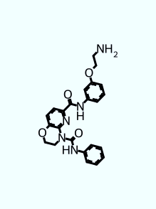 NCCOc1cccc(NC(=O)c2ccc3c(n2)N(C(=O)Nc2ccccc2)CCO3)c1